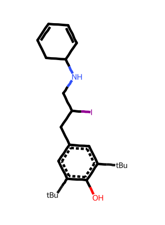 CC(C)(C)c1cc(CC(I)CNC2C=CC=CC2)cc(C(C)(C)C)c1O